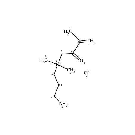 C=C(C)C(=O)C[N+](C)(C)CCCN.[Cl-]